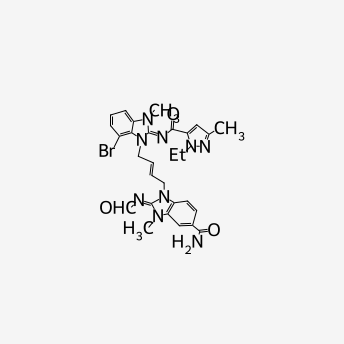 CCn1nc(C)cc1C(=O)/N=c1\n(C)c2cccc(Br)c2n1C/C=C/Cn1/c(=N/C=O)n(C)c2cc(C(N)=O)ccc21